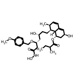 CCC(C)C(=O)O[C@H]1C[C@H](O)C=C2C=C[C@H](C)[C@H](CC[C@@H](O)C[C@H](CC(=O)NO)OCc3ccc(OC)cc3)[C@H]21